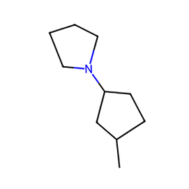 CC1CCC(N2CCCC2)C1